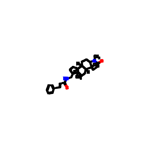 CN1C(=O)CC[C@@]2(C)C1CC[C@@H]1[C@H]2CC[C@]2(C)C(CNC(=O)/C=C/c3ccccc3)CC[C@@H]12